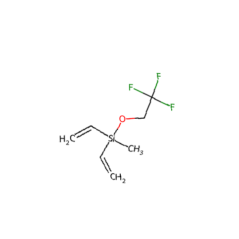 C=C[Si](C)(C=C)OCC(F)(F)F